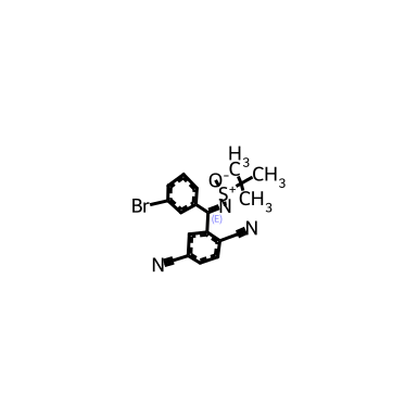 CC(C)(C)[S+]([O-])/N=C(\c1cccc(Br)c1)c1cc(C#N)ccc1C#N